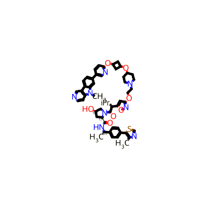 Cc1ncsc1-c1ccc([C@H](C)NC(=O)[C@@H]2C[C@@H](O)CN2C(=O)C(c2cc(OCCN3CCC(OC4CC(Oc5ccc(-c6ccc7c8cnccc8n(C)c7c6)cn5)C4)CC3)no2)C(C)C)cc1